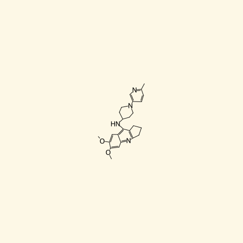 COc1cc2nc3c(c(NC4CCN(c5ccc(C)nc5)CC4)c2cc1OC)CCC3